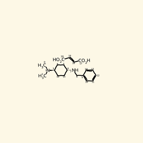 CN(C)[C@H]1CC[C@H](NCc2ccccc2)CC1.O=C(O)C=CC(=O)O